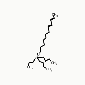 CC=CC=CCCCCCCCO[Si](CCCC)(CCCC)CCCC